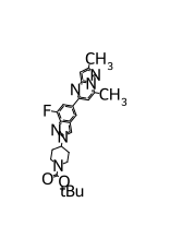 Cc1cc2nc(-c3cc(F)c4nn(C5CCN(C(=O)OC(C)(C)C)CC5)cc4c3)cc(C)n2n1